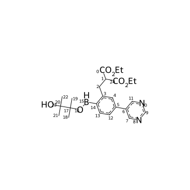 CCOC(=O)C(Cc1cc(-c2cncnc2)ccc1BOC(C)(C)C(C)(C)O)C(=O)OCC